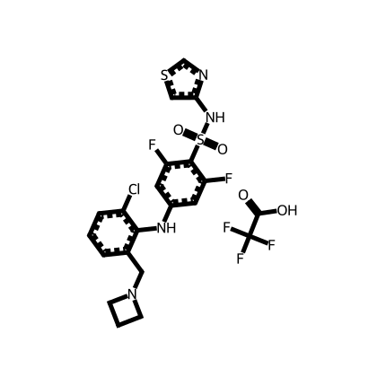 O=C(O)C(F)(F)F.O=S(=O)(Nc1cscn1)c1c(F)cc(Nc2c(Cl)cccc2CN2CCC2)cc1F